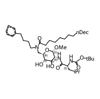 CCCCCCCCCCCCCCCCCC(=O)N(CCCCc1ccccc1)C[C@H]1O[C@H](OC)[C@H](NC(=O)[C@H](CC(C)C)NC(=O)OC(C)(C)C)[C@@H](O)[C@@H]1O